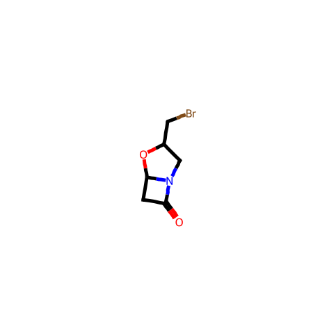 O=C1CC2OC(CBr)CN12